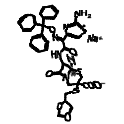 Nc1nc(C(=NOC(c2ccccc2)(c2ccccc2)c2ccccc2)C(=O)NC2C(=O)N3CC(SCC4COCO4)(C(=O)[O-])CS[C@H]23)cs1.[Na+]